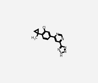 CC1(c2ccc(-c3cc(-c4nn[nH]n4)ncn3)cc2Cl)CC1